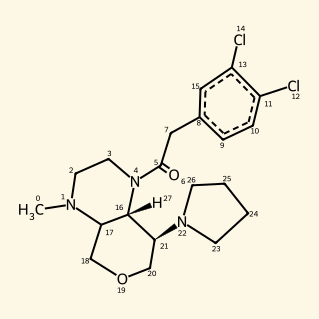 CN1CCN(C(=O)Cc2ccc(Cl)c(Cl)c2)[C@H]2C1COC[C@@H]2N1CCCC1